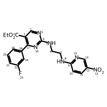 CCOC(=O)c1cnc(NCCNc2ccc([N+](=O)[O-])cn2)nc1-c1cccc(F)c1